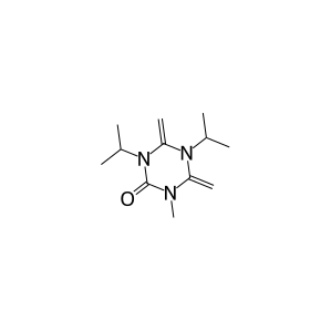 C=C1N(C)C(=O)N(C(C)C)C(=C)N1C(C)C